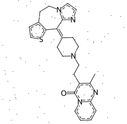 Cc1nc2ccccn2c(=O)c1CCN1CCC(=C2c3sccc3CCn3ccnc32)CC1